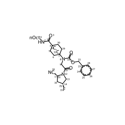 CCCCCCCCNC(=O)C12CCC(N(CC(=O)N3C[C@@H](F)C[C@H]3C#N)C(=O)OCc3ccccc3)(CC1)CC2